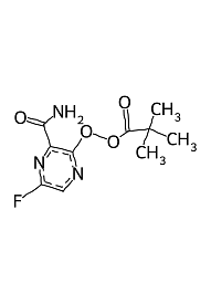 CC(C)(C)C(=O)OOc1ncc(F)nc1C(N)=O